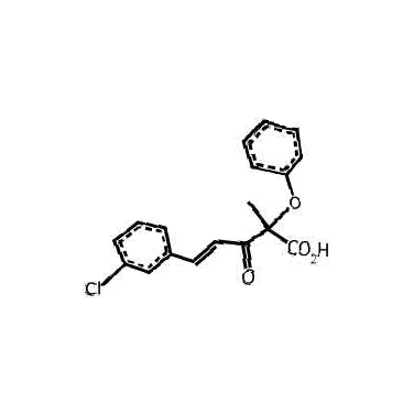 CC(Oc1ccccc1)(C(=O)O)C(=O)C=Cc1cccc(Cl)c1